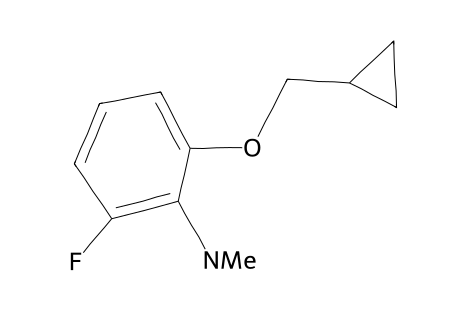 CNc1c(F)cccc1OCC1CC1